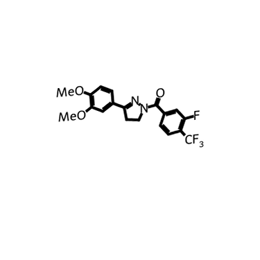 COc1ccc(C2=NN(C(=O)c3ccc(C(F)(F)F)c(F)c3)CC2)cc1OC